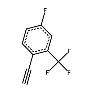 C#Cc1ccc(F)cc1C(F)(F)F